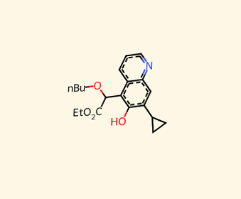 CCCCOC(C(=O)OCC)c1c(O)c(C2CC2)cc2ncccc12